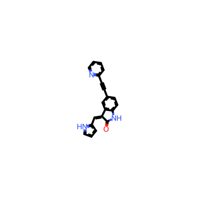 O=C1Nc2ccc(C#Cc3ccccn3)cc2C1=Cc1ccc[nH]1